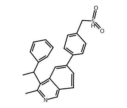 Cc1ncc2ccc(-c3ccc(C[SH](=O)=O)cc3)cc2c1C(C)c1ccccc1